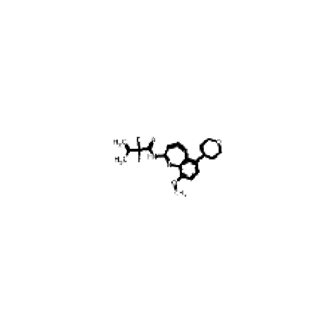 C=C(C)C(F)(F)C(=O)NC1=Nc2c(OC)ccc(C3CCOCC3)c2C=C=C1